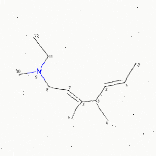 CC=CC(C)/C(C)=C/CN(C)CC